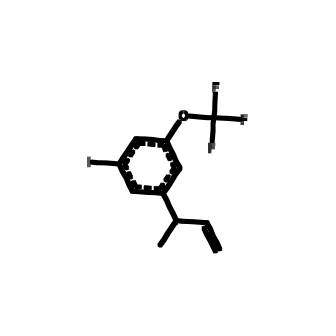 C=C[C](C)c1cc(I)cc(OC(F)(F)F)c1